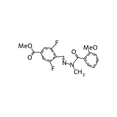 COC(=O)c1cc(F)c(/C=N/N(C)C(=O)c2ccccc2OC)c(F)c1